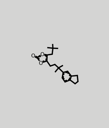 CC(C)(C)Cc1oc(=O)oc1CCC(C)(C)c1ccc2c(c1)CCC2